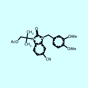 COc1ccc(Cn2c(=O)n(C(C)(C)COC(C)=O)c3ccc(C#N)cc32)cc1OC